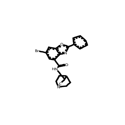 O=C(NC1CN2CCC1CC2)c1cc(Br)cc2oc(-c3ccccc3)nc12